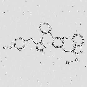 CCOc1nc2cccc(C(C)=O)c2n1Cc1ccc(-c2ccccc2-c2nnnn2Cc2ccc(OC)cc2)cc1